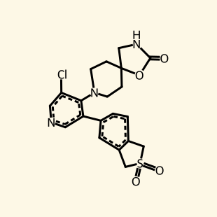 O=C1NCC2(CCN(c3c(Cl)cncc3-c3ccc4c(c3)CS(=O)(=O)C4)CC2)O1